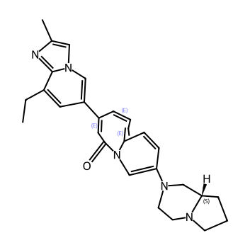 CCc1cc(C2=C\C(=O)N3C=C(N4CCN5CCC[C@H]5C4)C=C\C3=C/C=C/2)cn2cc(C)nc12